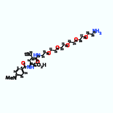 CNc1ccc(C(=O)N[C@@H](CC(C(=O)NCCOCCOCCOCCOCCOCCN)C(C)(C)C)C(=O)O)cc1